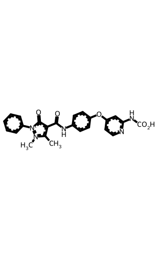 Cc1c(C(=O)Nc2ccc(Oc3ccnc(NC(=O)O)c3)cc2)c(=O)n(-c2ccccc2)n1C